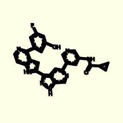 O=C(Nc1cncc(-c2cc3c(-c4cc5c(-c6cc(O)cc(F)c6)nccc5[nH]4)n[nH]c3cn2)c1)C1CC1